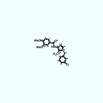 COc1ccc(C(=O)Nc2ncn(Cc3cccc(Cl)c3)c2C)cc1OC